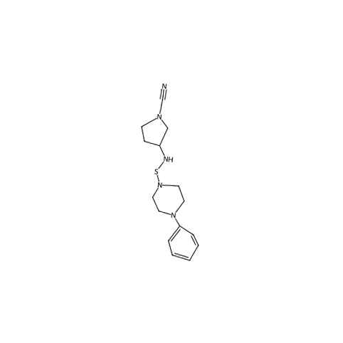 N#CN1CCC(NSN2CCN(c3ccccc3)CC2)C1